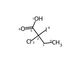 CCC(Cl)(I)C(=O)O